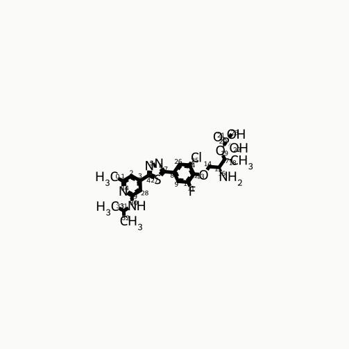 Cc1cc(-c2nnc(-c3cc(F)c(OC[C@H](N)[C@@H](C)OP(=O)(O)O)c(Cl)c3)s2)cc(NC(C)C)n1